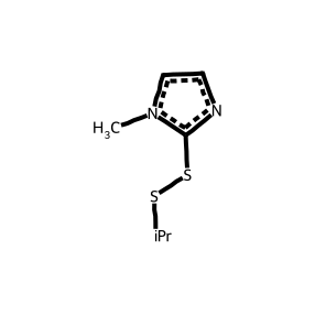 CC(C)SSc1nccn1C